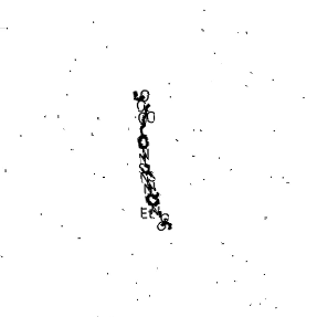 C=CC(=O)OCCN(CC)c1ccc(N=Nc2nc3sc(N=Nc4ccc(CCOC(=O)C(C)OC(=O)C=C)cc4)cc3s2)c(C)c1